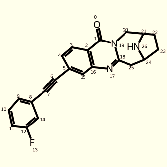 O=c1c2ccc(C#Cc3cccc(F)c3)cc2nc2n1CC1CCC(C2)N1